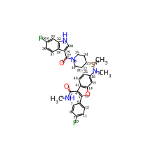 CNC(=O)c1c(-c2ccc(F)cc2)oc2cc(N(C)SC)c([C@H]3CCCN(C(=O)c4c[nH]c5cc(F)ccc45)C3)cc12